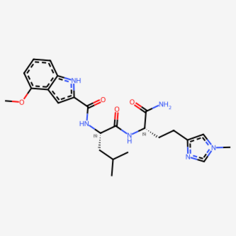 COc1cccc2[nH]c(C(=O)N[C@@H](CC(C)C)C(=O)N[C@@H](CCc3cn(C)cn3)C(N)=O)cc12